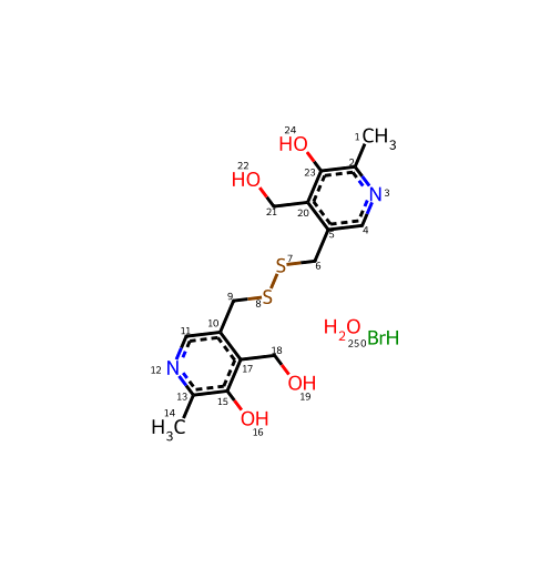 Br.Cc1ncc(CSSCc2cnc(C)c(O)c2CO)c(CO)c1O.O